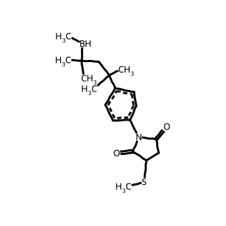 CBC(C)(C)CC(C)(C)c1ccc(N2C(=O)CC(SC)C2=O)cc1